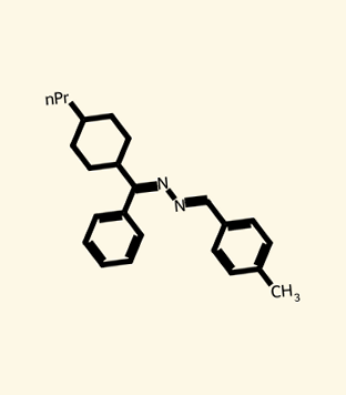 CCCC1CCC(C(=NN=Cc2ccc(C)cc2)c2ccccc2)CC1